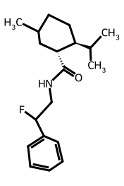 CC1CC[C@@H](C(C)C)[C@H](C(=O)NCC(F)c2ccccc2)C1